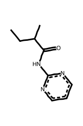 CCC(C)C(=O)Nc1ncccn1